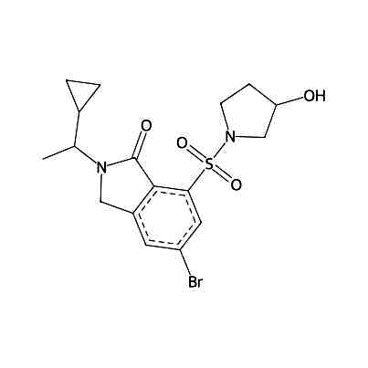 CC(C1CC1)N1Cc2cc(Br)cc(S(=O)(=O)N3CCC(O)C3)c2C1=O